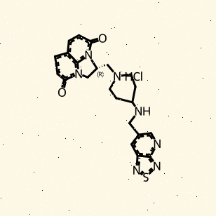 Cl.O=c1ccc2ccc(=O)n3c2n1C[C@H]3CN1CCC(NCc2cnc3nsnc3c2)CC1